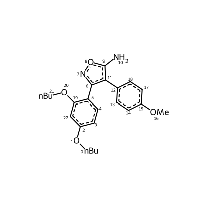 CCCCOc1ccc(-c2noc(N)c2-c2ccc(OC)cc2)c(OCCCC)c1